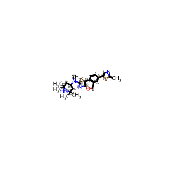 Cc1ncc(-c2ccc3c(c2)COc2nc(N(C)C4CC(C)(C)NC(C)(C)C4)sc2-3)s1